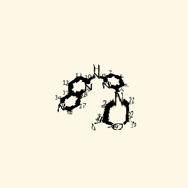 C[C@@H]1CN(c2cccc(Nc3ccc4cnccc4n3)n2)C[C@H](C)O1